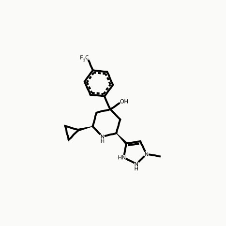 CN1C=C([C@@H]2CC(O)(c3ccc(C(F)(F)F)cc3)C[C@H](C3CC3)N2)NN1